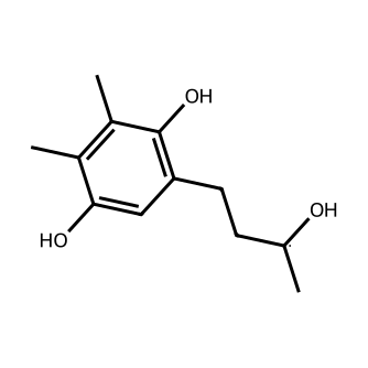 C[C](O)CCc1cc(O)c(C)c(C)c1O